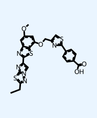 CCc1nn2cc(-c3nc4cc(OC)cc(OCc5csc(-c6ccc(C(=O)O)cc6)n5)c4s3)nc2s1